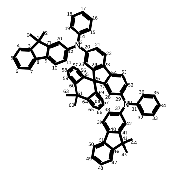 CC1(C)c2ccccc2-c2ccc(N(c3ccccc3)c3ccc4c(c3)C3(c5cc(N(c6ccccc6)c6ccc7c(c6)C(C)(C)c6ccccc6-7)ccc5-4)c4ccccc4C(C)(C)c4ccccc43)cc21